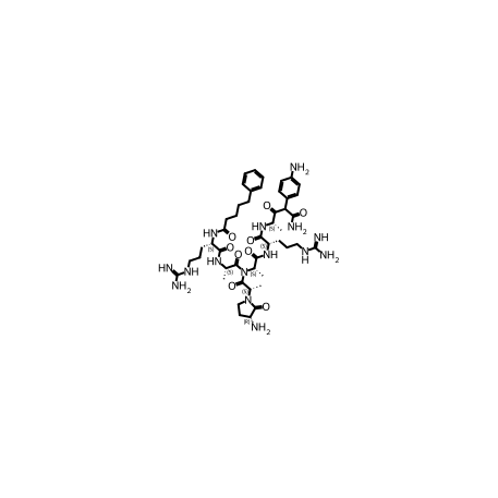 C[C@H](NC(=O)[C@H](CCCNC(=N)N)NC(=O)[C@H](C)N(C(=O)[C@H](C)NC(=O)[C@H](CCCNC(=N)N)NC(=O)CCCCc1ccccc1)C(=O)[C@H](C)N1CC[C@@H](N)C1=O)C(=O)C(C(N)=O)c1ccc(N)cc1